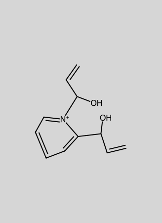 C=CC(O)c1cccc[n+]1C(O)C=C